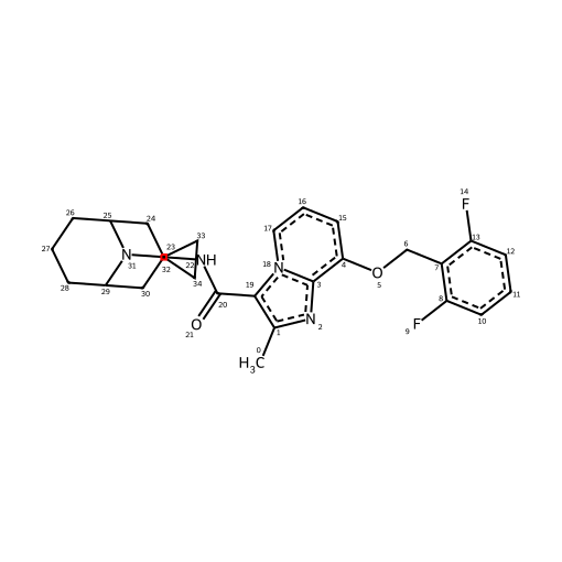 Cc1nc2c(OCc3c(F)cccc3F)cccn2c1C(=O)NC1CC2CCCC(C1)N2C1CC1